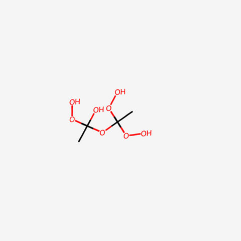 CC(O)(OO)OC(C)(OO)OO